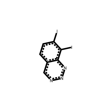 Ic1ccc2cnnnc2c1I